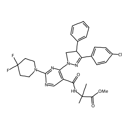 COC(=O)C(C)(C)NC(=O)c1cnc(N2CCC(F)(F)CC2)nc1N1CC(c2ccccc2)C(c2ccc(Cl)cc2)=N1